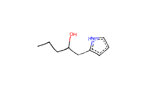 CCCC(O)Cc1ccc[nH]1